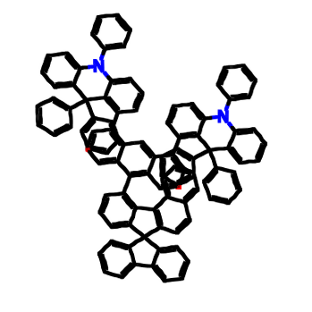 c1ccc(N2c3ccccc3C(c3ccccc3)(c3ccccc3)c3c(-c4cccc5c(-c6cccc7c6-c6c(ccc8ccccc68)C76c7ccccc7-c7ccccc76)c6cccc(-c7cccc8c7C(c7ccccc7)(c7ccccc7)c7ccccc7N8c7ccccc7)c6cc45)cccc32)cc1